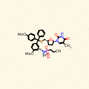 COc1ccc(C(SC[C@H]2O[C@@H](n3cc(C)c(=O)[nH]c3=O)C[C@@H]2O[PH](O)(CCC#N)N(C(C)C)C(C)C)(c2ccccc2)c2ccc(OC)cc2)cc1